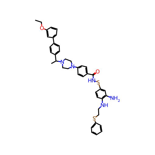 CCOc1cccc(-c2ccc(C(C)N3CCN(c4ccc(C(=O)NSc5ccc(NCCSc6ccccc6)c(N)c5)cc4)CC3)cc2)c1